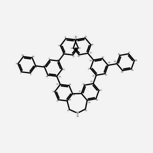 c1ccc(-c2cc(-c3ccccc3)cc(-c3ccc4c(c3)-c3cc(-c5cc(-c6ccccc6)cc(-c6ccccc6)c5)ccc3CSC4)c2)cc1